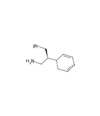 CC(C)C[C@H](CN)C1C=CC=CC1